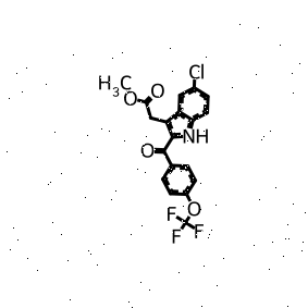 COC(=O)Cc1c(C(=O)c2ccc(OC(F)(F)F)cc2)[nH]c2ccc(Cl)cc12